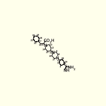 N=C(N)c1ccc(N2CCN(C3CCN(C(Cc4ccccc4)C(=O)O)CC3)CC2)cc1